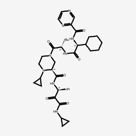 CCC[C@H](NC(=O)[C@@H]1CN(C(=O)[C@@H](NC(=O)[C@@H](NC(=O)c2cnccn2)C2CCCCC2)C(C)(C)C)CCN1C1CC1)C(=O)C(=O)NC1CC1